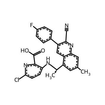 Cc1cc([C@@H](C)Nc2ccc(Cl)nc2C(=O)O)c2cc(-c3ccc(F)cc3)c(C#N)nc2c1